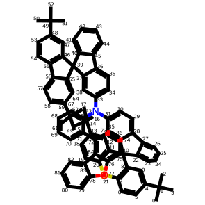 CC(C)(C)c1ccc2c(c1)C1(c3cc(C(C)(C)C)ccc3S2)c2ccccc2-c2ccc(N(c3ccc4c(c3)C3(c5ccccc5-4)c4cc(C(C)(C)C)ccc4-c4ccc(C(C)(C)C)cc43)c3ccccc3-c3cccc4oc5ccccc5c34)cc21